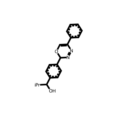 CC(C)C(O)c1ccc(C2N=NC(c3ccccc3)=CO2)cc1